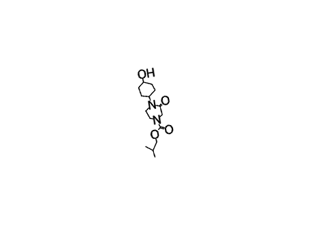 CC(C)COC(=O)N1CCN(C2CCC(O)CC2)C(=O)C1